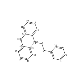 c1ccc(CCN2c3ccccc3Sc3ccccc32)cc1